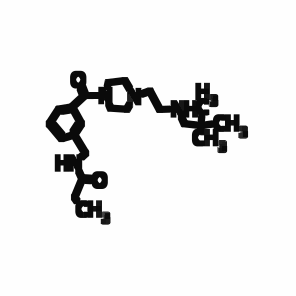 CCC(=O)NCc1cccc(C(=O)N2CCN(CCNCC(C)(C)C)CC2)c1